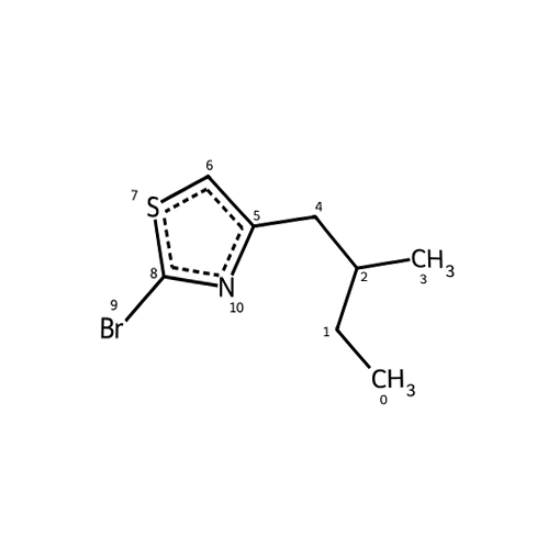 CCC(C)Cc1csc(Br)n1